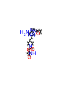 Nc1nc(CCC2CCN(C(=O)OC3CC(=O)N3)CC2)nc2c1ncn2[C@H]1CCCO1